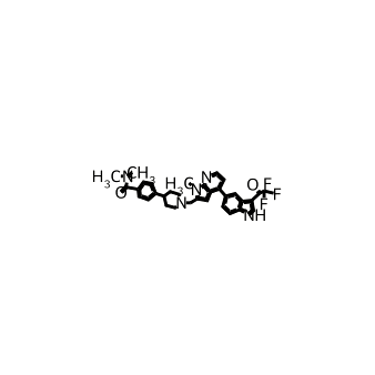 CN(C)C(=O)c1ccc(C2CCN(Cc3cc4c(-c5ccc6[nH]cc(C(=O)C(F)(F)F)c6c5)ccnc4n3C)CC2)cc1